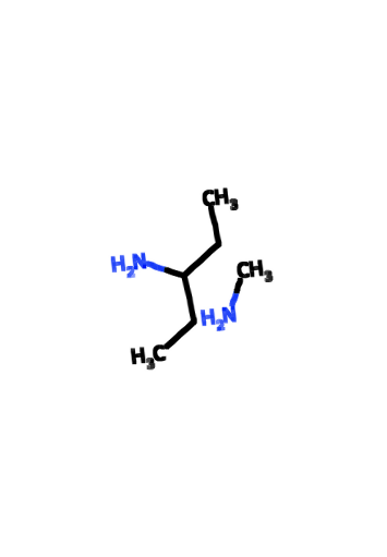 CCC(N)CC.CN